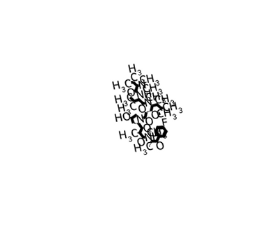 CC[C@H](C)C([C@@H](CC(=O)N1C[C@@H](O)C[C@H]1[C@H](OC)[C@@H](C)C(=O)N[C@@H](C)C(=O)c1ccc(F)cc1)OC)N(C)C(=O)[C@@H](NC(=O)C(C(C)C)N(C)C)C(C)C